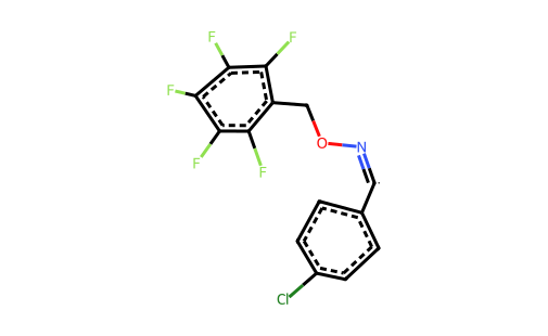 Fc1c(F)c(F)c(CO/N=[C]\c2ccc(Cl)cc2)c(F)c1F